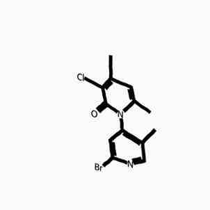 Cc1cnc(Br)cc1-n1c(C)cc(C)c(Cl)c1=O